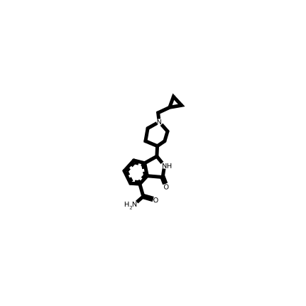 NC(=O)c1cccc2c1C(=O)NC2C1CCN(CC2CC2)CC1